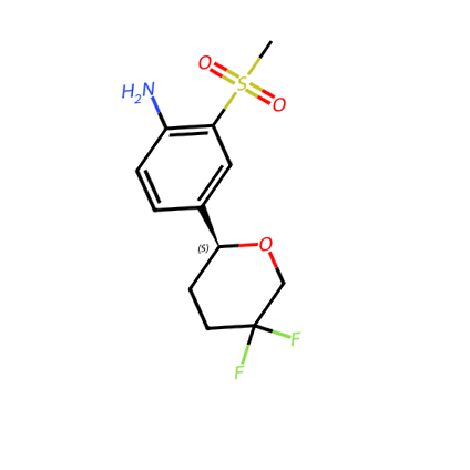 CS(=O)(=O)c1cc([C@@H]2CCC(F)(F)CO2)ccc1N